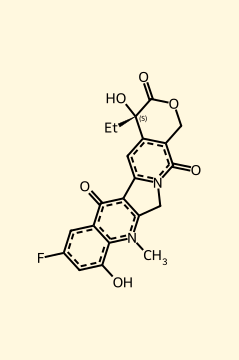 CC[C@@]1(O)C(=O)OCc2c1cc1n(c2=O)Cc2c-1c(=O)c1cc(F)cc(O)c1n2C